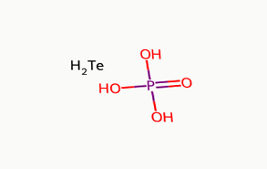 O=P(O)(O)O.[TeH2]